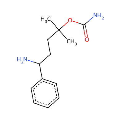 CC(C)(CCC(N)c1ccccc1)OC(N)=O